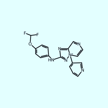 FC(F)Oc1ccc(NC2=N[N+]3(c4cccnc4)C=CN=CC3=N2)cc1